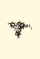 Cc1ccc(Cn2ccc3nc(N)nc(NCc4cc(C)on4)c32)nc1